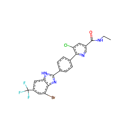 CCNC(=O)c1cnc(-c2ccc(-c3nc4c(Br)cc(C(F)(F)F)cc4[nH]3)cc2)c(Cl)c1